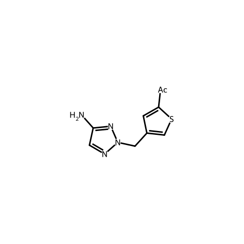 CC(=O)c1cc(Cn2ncc(N)n2)cs1